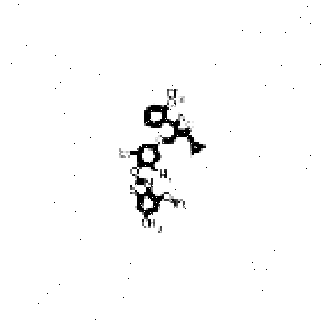 CCC1CC(OCc2c(-c3ccccc3OC(F)(F)F)noc2C2CC2)CC(C)C1Oc1nc2c(OC(C)C)cc(C)cc2s1